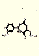 CCCCCCSC1=CC(=O)CC(c2cccc([N+](=O)[O-])c2)NC1=O